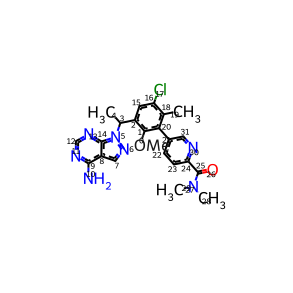 COc1c(C(C)n2ncc3c(N)ncnc32)cc(Cl)c(C)c1-c1ccc(C(=O)N(C)C)nc1